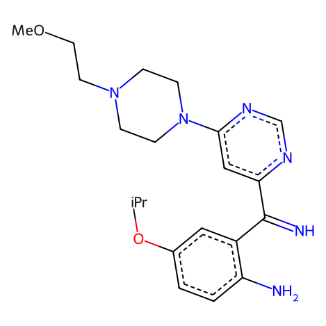 COCCN1CCN(c2cc(C(=N)c3cc(OC(C)C)ccc3N)ncn2)CC1